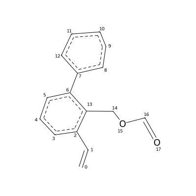 C=Cc1cccc(-c2ccccc2)c1COC=O